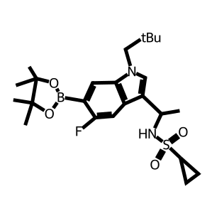 CC(NS(=O)(=O)C1CC1)c1cn(CC(C)(C)C)c2cc(B3OC(C)(C)C(C)(C)O3)c(F)cc12